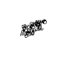 CC(C)(C)COC(=O)OCC(COC(=O)OCC(C)(C)C)(OC[C@H]1O[C@@H](n2cnc3c(N[C@H]4CCOC4)nc(Cl)nc32)[C@H](O)[C@@H]1O)P(=O)(O)O